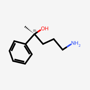 C[C@](O)(CCCN)c1ccccc1